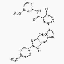 COc1cccc(NC(=O)c2cc(-c3ccc(C=C4C(=O)N(c5ccc(C(=O)O)cc5)N=C4C)o3)ccc2Cl)c1